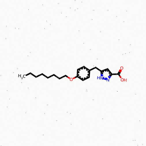 CCCCCCCCOc1ccc(Cc2cc(C(=O)O)n[nH]2)cc1